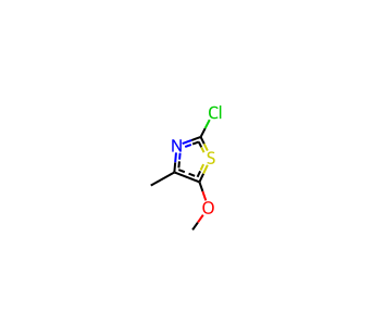 COc1sc(Cl)nc1C